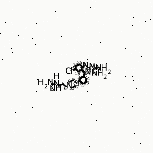 N=C(N)NCCCN1CCN(c2cccc(-c3nc(N=C(N)N)nc4ccc(Cl)cc34)c2)CC1